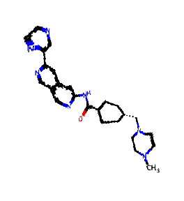 CN1CCN(C[C@H]2CC[C@H](C(=O)Nc3cc4cc(-c5cnccn5)ncc4cn3)CC2)CC1